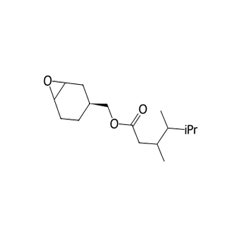 CC(C)C(C)C(C)CC(=O)OC[C@H]1CCC2OC2C1